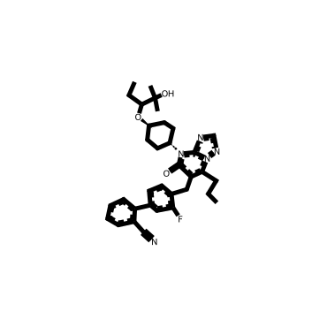 CCCc1c(Cc2ccc(-c3ccccc3C#N)cc2F)c(=O)n([C@H]2CC[C@H](OC(CC)C(C)(C)O)CC2)c2ncnn12